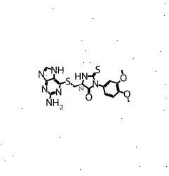 COc1ccc(N2C(=O)[C@@H](CSc3nc(N)nc4nc[nH]c34)NC2=S)cc1OC